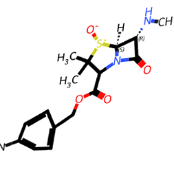 CC1(C)C(C(=O)OCc2ccc([N+](=O)[O-])cc2)N2C(=O)[C@@H](NC=O)[C@@H]2[S+]1[O-]